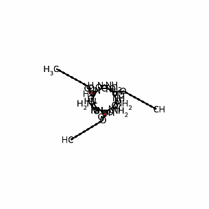 C#CC#CC#CC#CC#CC#CC#CC#COC(=O)Cc1cc2cc(c1)C(=O)NC1CC(C(=O)Nc3cc(CC(=O)OCC#CC#CC#CC#CC#CC#CC#CC)cc(c3O)C(=O)NC3CC(C(=O)Nc4cc(CC(=O)OC#CC#CC#CC#CC#CC#CC#CC#C)cc(c4O)C(=O)NC4CC(C(=O)N2)C(N)CC4N)C(N)CC3N)C(N)CC1N